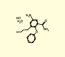 CCCCc1cc(N)cc(C(N)=O)c1Oc1ccccc1.Cl.O